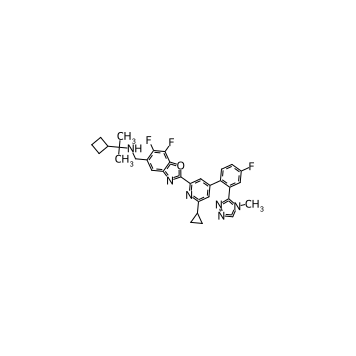 Cn1cnnc1-c1cc(F)ccc1-c1cc(-c2nc3cc(CNC(C)(C)C4CCC4)c(F)c(F)c3o2)nc(C2CC2)c1